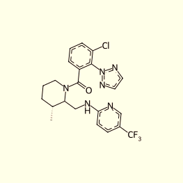 C[C@@H]1CCCN(C(=O)c2cccc(Cl)c2-n2nccn2)C1CNc1ccc(C(F)(F)F)cn1